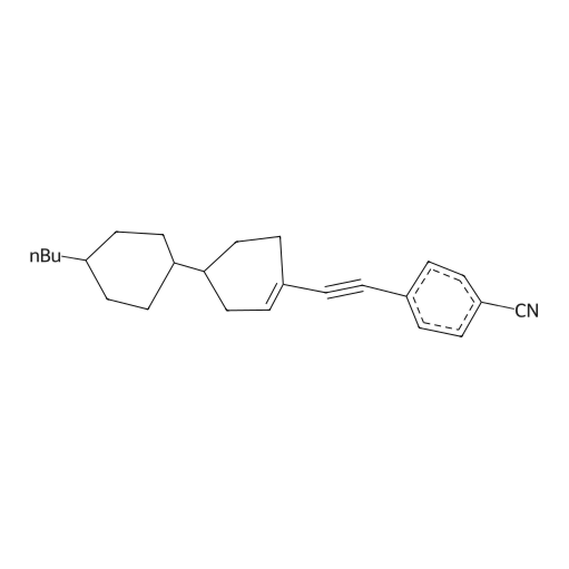 CCCCC1CCC(C2CC=C(C#Cc3ccc(C#N)cc3)CC2)CC1